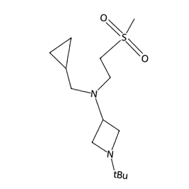 CC(C)(C)N1CC(N(CCS(C)(=O)=O)CC2CC2)C1